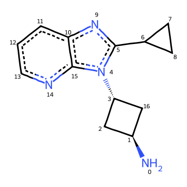 N[C@H]1C[C@H](n2c(C3CC3)nc3cccnc32)C1